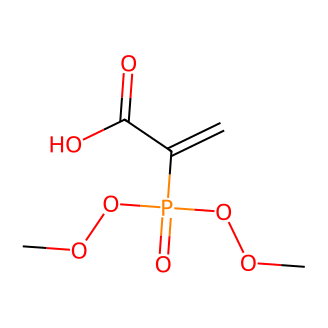 C=C(C(=O)O)P(=O)(OOC)OOC